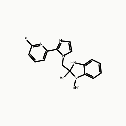 CCCN1c2ccccc2NC1(Cn1ccnc1-c1cccc(F)n1)C(C)=O